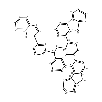 c1cc(-c2ccc3ccccc3c2)cc(N(Cc2ccccc2-c2cccc3c2oc2ccccc23)c2cccc(-c3cccc4sc5ccccc5c34)c2)c1